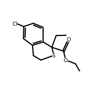 CCOC(=O)C1(CC)SCCc2cc(Cl)ccc21